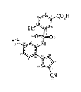 CCc1ccc(C(=O)O)cc1S(=O)(=O)Nc1cc(C(F)(F)F)ccc1-c1ccc(C#N)s1